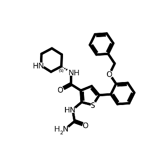 NC(=O)Nc1sc(-c2ccccc2OCc2ccccc2)cc1C(=O)N[C@H]1CCCNC1